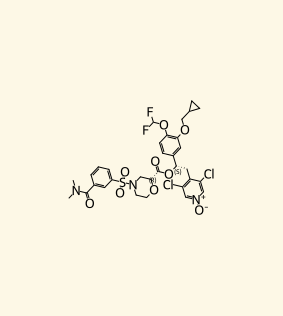 CN(C)C(=O)c1cccc(S(=O)(=O)N2CCO[C@@H](C(=O)O[C@@H](Cc3c(Cl)c[n+]([O-])cc3Cl)c3ccc(OC(F)F)c(OCC4CC4)c3)C2)c1